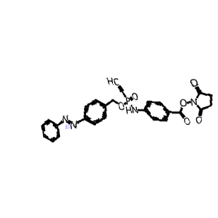 C#CP(=O)(Nc1ccc(C(=O)ON2C(=O)CCC2=O)cc1)OCc1ccc(/N=N/c2ccccc2)cc1